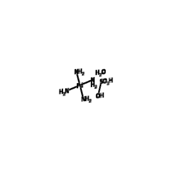 O.O=S(=O)(O)O.[NH2][Pd]([NH2])([NH2])[NH2]